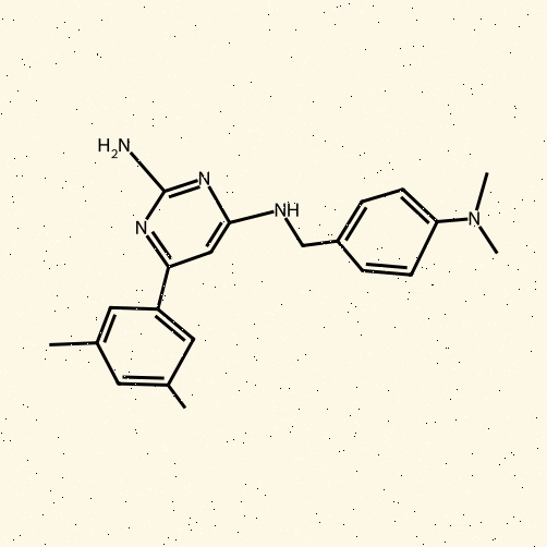 Cc1cc(C)cc(-c2cc(NCc3ccc(N(C)C)cc3)nc(N)n2)c1